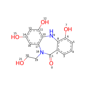 O=C1c2cccc(O)c2Nc2c(O)cc(O)cc2N1CCO